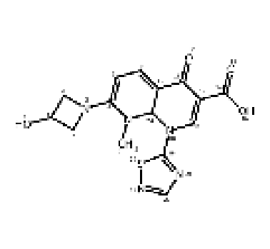 CN1C(N2CC(O)C2)=CC=C2C(=O)C(C(=O)O)=CN(c3ncns3)C21